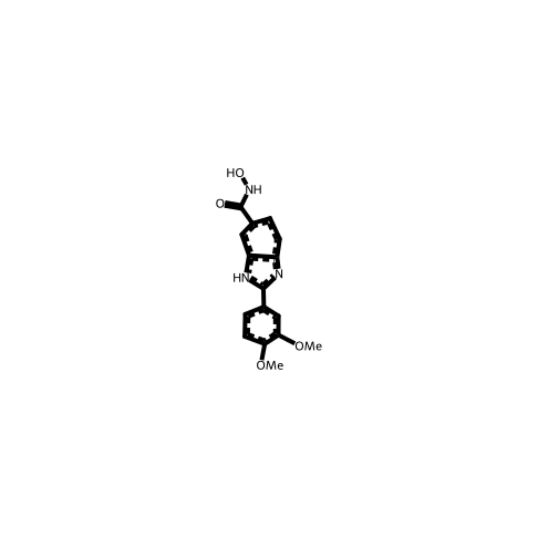 COc1ccc(-c2nc3ccc(C(=O)NO)cc3[nH]2)cc1OC